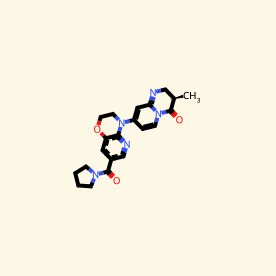 C[C@@H]1CN=C2C=C(N3CCOc4cc(C(=O)N5CCCC5)cnc43)C=CN2C1=O